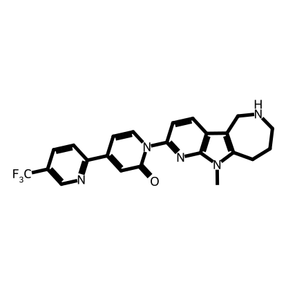 Cn1c2c(c3ccc(-n4ccc(-c5ccc(C(F)(F)F)cn5)cc4=O)nc31)CNCCC2